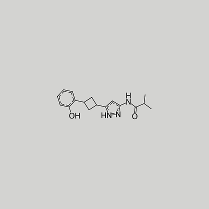 CC(C)C(=O)Nc1cc(C2CC(c3ccccc3O)C2)[nH]n1